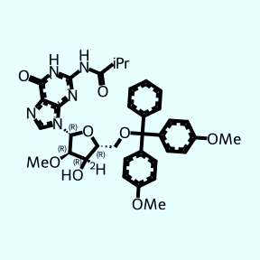 [2H][C@@]1(O)[C@@H](COC(c2ccccc2)(c2ccc(OC)cc2)c2ccc(OC)cc2)O[C@@H](n2cnc3c(=O)[nH]c(NC(=O)C(C)C)nc32)[C@@H]1OC